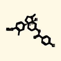 COc1ccc([C@@]23CCC(OC(=O)c4ccc(Cl)cc4)=C[C@@H]2N(C)CC3)cc1C